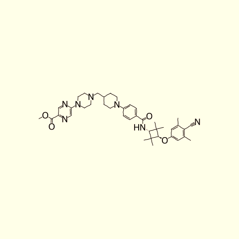 COC(=O)c1cnc(N2CCN(CC3CCN(c4ccc(C(=O)N[C@H]5C(C)(C)[C@H](Oc6cc(C)c(C#N)c(C)c6)C5(C)C)cc4)CC3)CC2)cn1